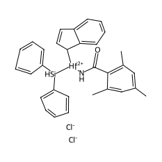 Cc1cc(C)c(C(=O)[NH][Hf+2]([CH]2C=Cc3ccccc32)[SiH](c2ccccc2)c2ccccc2)c(C)c1.[Cl-].[Cl-]